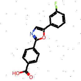 O=C(O)c1ccc(-c2ncc(-c3cccc(F)c3)o2)cc1